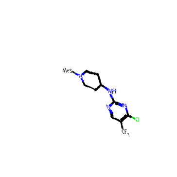 CSN1CCC(Nc2ncc(C(F)(F)F)c(Cl)n2)CC1